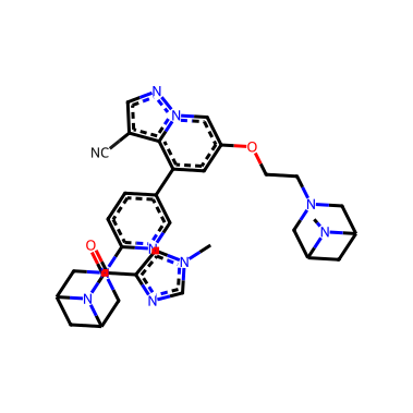 CN1C2CC1CN(CCOc1cc(-c3ccc(N4CC5CC(C4)N5C(=O)c4cn(C)cn4)nc3)c3c(C#N)cnn3c1)C2